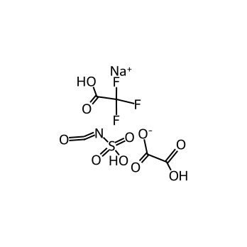 O=C(O)C(F)(F)F.O=C([O-])C(=O)O.O=C=NS(=O)(=O)O.[Na+]